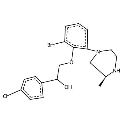 C[C@H]1CN(c2cccc(Br)c2OCC(O)c2ccc(Cl)cc2)CCN1